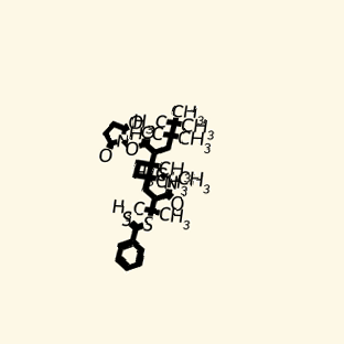 CN(C)C(=O)C(CC1(C)CCC1(C)C(CC(C)(C)C(C)(C)C)C(=O)ON1C(=O)CCC1=O)C(C)(C)SC(=S)c1ccccc1